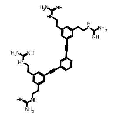 N=C(N)NCCc1cc(C#Cc2cccc(C#Cc3cc(CCNC(=N)N)cc(CCNC(=N)N)c3)c2)cc(CCNC(=N)N)c1